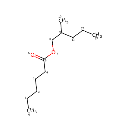 CCCCCC(=O)O[CH]C(C)CCC